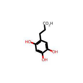 O=C(O)CCc1cc(O)c(O)cc1O